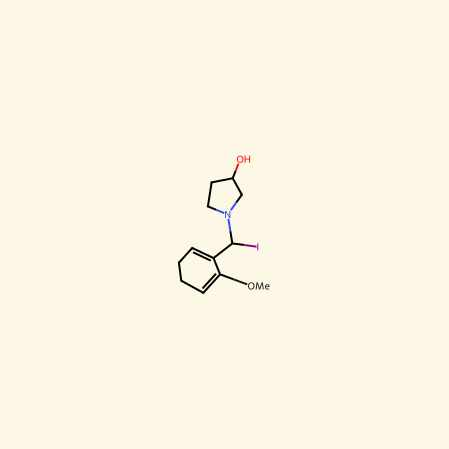 COC1=CCCC=C1C(I)N1CCC(O)C1